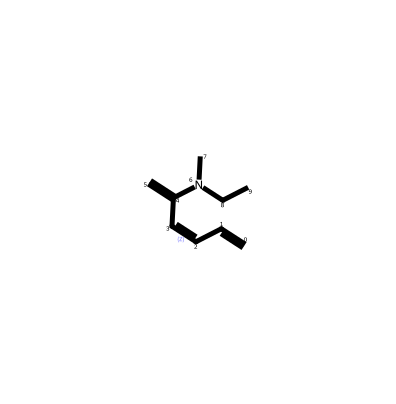 C=C/C=C\C(=C)N(C)CC